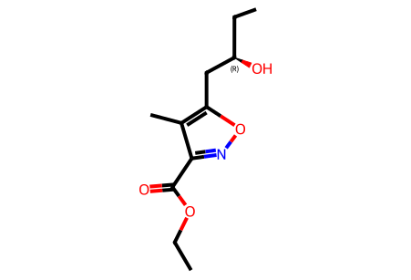 CCOC(=O)c1noc(C[C@H](O)CC)c1C